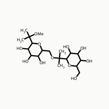 COC(C)(C)C1OC(COC(C)(C)C2OC(CO)C(O)C(O)C2O)C(O)C(O)C1O